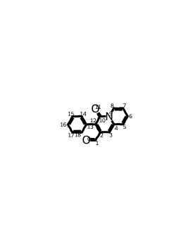 O=Cc1cc2ccccn2c(=O)c1-c1ccccc1